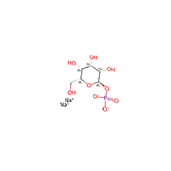 O=P([O-])([O-])O[C@H]1O[C@H](CO)[C@H](O)[C@H](O)[C@@H]1O.[Na+].[Na+]